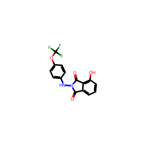 O=C1c2cccc(O)c2C(=O)N1Nc1ccc(OC(F)(F)F)cc1